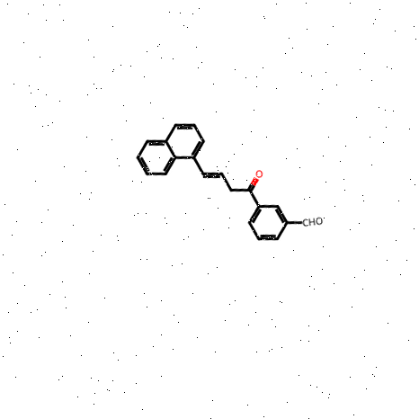 O=Cc1cccc(C(=O)C/C=C/c2cccc3ccccc23)c1